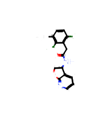 O=C(Cc1c(Cl)ccc(C(F)(F)F)c1Cl)NC1COc2ncccc21